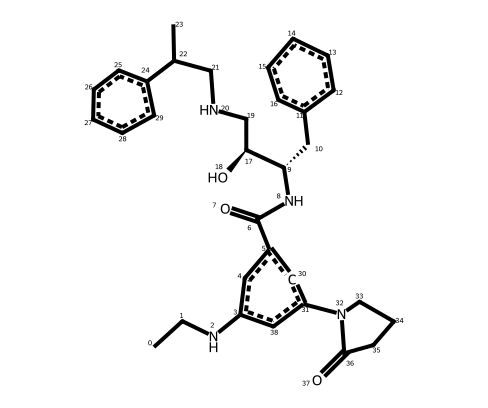 CCNc1cc(C(=O)N[C@@H](Cc2ccccc2)[C@@H](O)CNCC(C)c2ccccc2)cc(N2CCCC2=O)c1